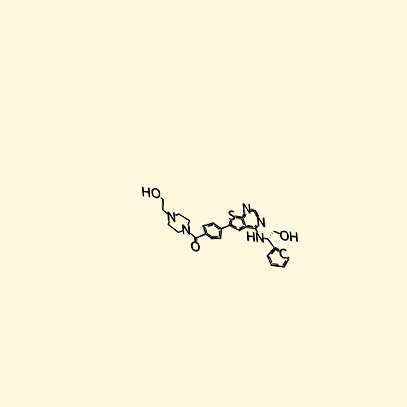 O=C(c1ccc(-c2cc3c(N[C@H](CO)c4ccccc4)ncnc3s2)cc1)N1CCN(CCO)CC1